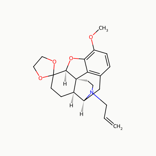 C=CCN1CC[C@@]23c4c5ccc(OC)c4O[C@@H]2C2(CC[C@@H]3[C@@H]1C5)OCCO2